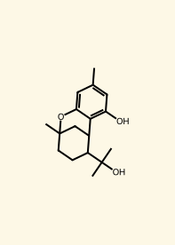 Cc1cc(O)c2c(c1)OC1(C)CCC(C(C)(C)O)C2C1